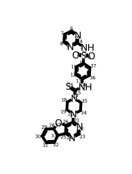 O=S(=O)(Nc1ncccn1)c1ccc(NC(=S)N2CCN(c3ncnc4c3OC3C=CC=CC43)CC2)cc1